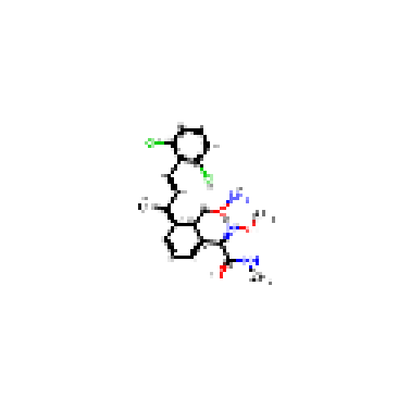 CNC(=O)C(=NOC)C1=CC=CC(=C(C)C=Cc2c(Cl)cccc2Cl)C1CON